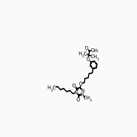 CCCCCCCn1c(=O)c(OCCCCCc2cccc(OC(C)(C)C(=O)O)c2)nn(C)c1=O